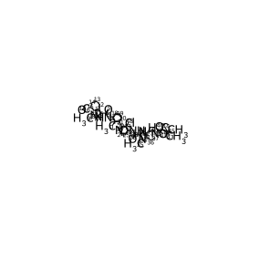 Cc1c(NC(=O)c2nn(C)c3c2CCCC3=C=O)cccc1-c1nccc(NC(=O)c2nc3c(n2C)CCN(C(=O)OC(C)(C)C)C3)c1Cl